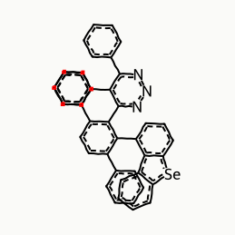 c1ccc(-c2ccc(-c3ccccc3)c(-c3cccc4[se]c5ccccc5c34)c2-c2nnnc(-c3ccccc3)c2-c2ccccc2)cc1